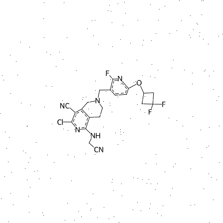 N#CCNc1nc(Cl)c(C#N)c2c1CCN(Cc1ccc(OC3CC(F)(F)C3)nc1F)C2